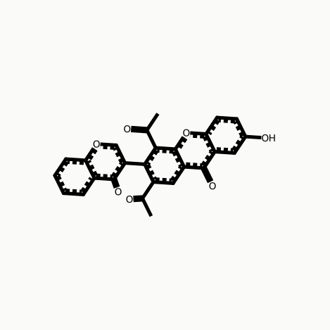 CC(=O)c1cc2c(=O)c3cc(O)ccc3oc2c(C(C)=O)c1-c1coc2ccccc2c1=O